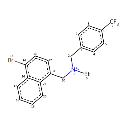 CC[N+](Cc1ccc(C(F)(F)F)cc1)Cc1ccc(Br)c2ccccc12